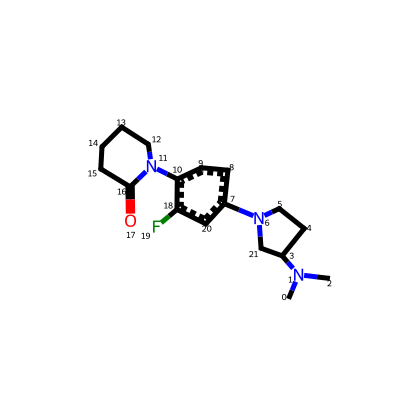 CN(C)C1CCN(c2ccc(N3CCCCC3=O)c(F)c2)C1